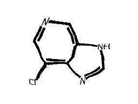 Clc1cncc2[nH]cnc12